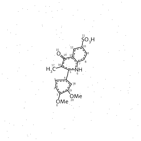 COc1ccc(-c2[nH]c3ccc(S(=O)(=O)O)cc3c(=O)c2C)cc1OC